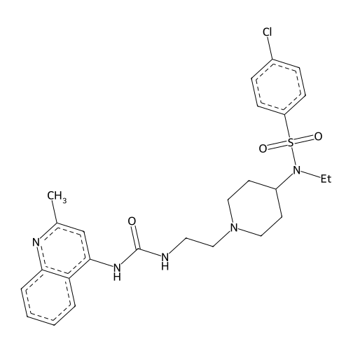 CCN(C1CCN(CCNC(=O)Nc2cc(C)nc3ccccc23)CC1)S(=O)(=O)c1ccc(Cl)cc1